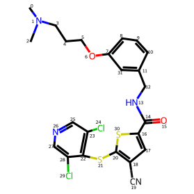 CN(C)CCCOc1cccc(CNC(=O)c2cc(C#N)c(Sc3c(Cl)cncc3Cl)s2)c1